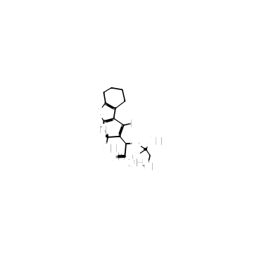 CCC(C)(C)OC(C(=O)O)c1c(C)nc2sc3c(c2c1I)CCCC3